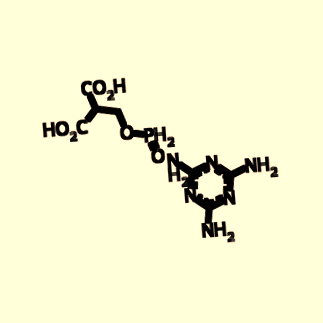 Nc1nc(N)nc(N)n1.O=[PH2]OCC(C(=O)O)C(=O)O